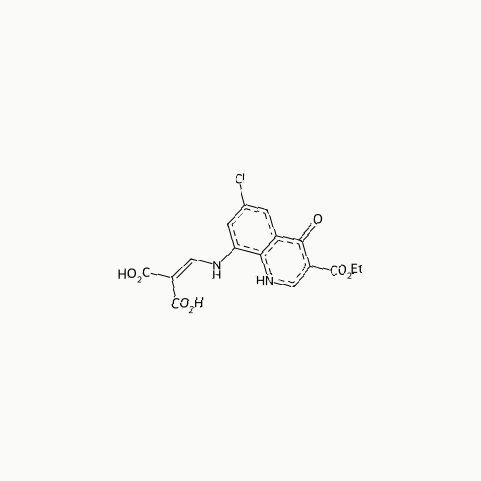 CCOC(=O)c1c[nH]c2c(NC=C(C(=O)O)C(=O)O)cc(Cl)cc2c1=O